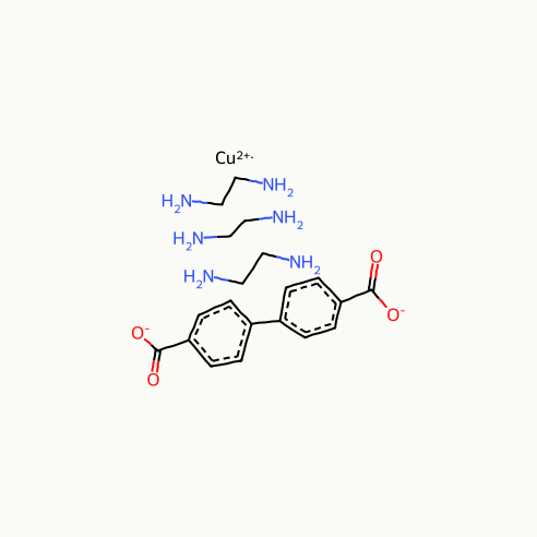 NCCN.NCCN.NCCN.O=C([O-])c1ccc(-c2ccc(C(=O)[O-])cc2)cc1.[Cu+2]